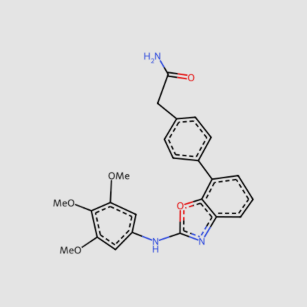 COc1cc(Nc2nc3cccc(-c4ccc(CC(N)=O)cc4)c3o2)cc(OC)c1OC